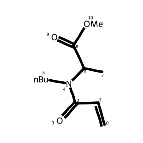 C=CC(=O)N(CCCC)C(C)C(=O)OC